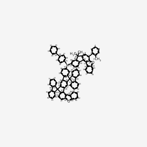 Cc1ccccc1-c1cc2c(c3c1oc1ccccc13)-c1ccc(N(c3ccc(-c4ccccc4)cc3)c3ccc4c(c3)C3(c5ccccc5-c5ccccc53)c3cc5c(cc3-4)C3(c4ccccc4-c4ccccc43)c3ccc4oc6ccccc6c4c3-5)cc1C2(C)C